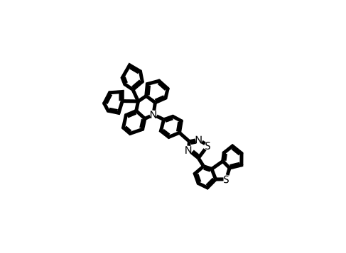 c1ccc(C2(c3ccccc3)c3ccccc3N(c3ccc(-c4nsc(-c5cccc6sc7ccccc7c56)n4)cc3)c3ccccc32)cc1